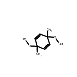 CC1(OO)C=CC(C)(OO)C=C1